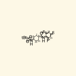 CC(C)(C)S(=O)(=O)NC1CCC(C(=O)Nc2c(F)cc(F)cc2F)CC1